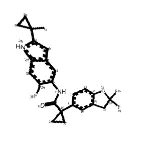 CC1(c2cc3cc(NC(=O)C4(c5ccc6c(c5)CC(F)(F)O6)CC4)c(F)cc3[nH]2)CC1